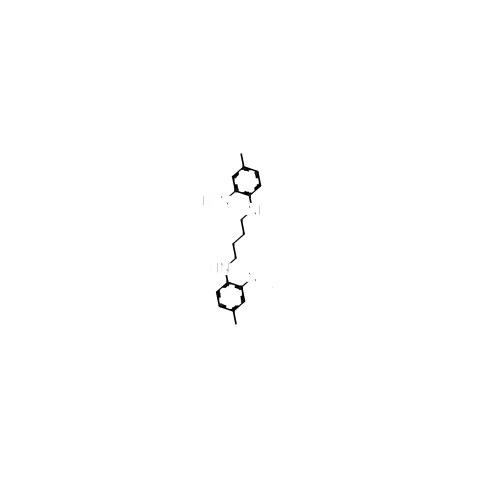 Cc1ccc(NCCCCNc2ccc(C)cc2N)c(N)c1